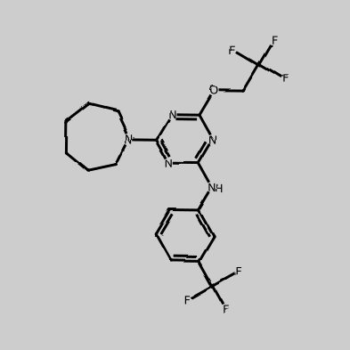 FC(F)(F)COc1nc(Nc2cccc(C(F)(F)F)c2)nc(N2CCCCCC2)n1